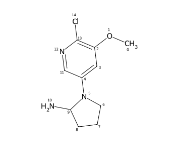 COc1cc(N2CCCC2N)cnc1Cl